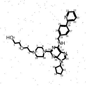 OCCOCCN1CCN(c2nc(NCc3ccc(-c4ccccn4)cc3)c3ncn(C4CCCC4)c3n2)CC1